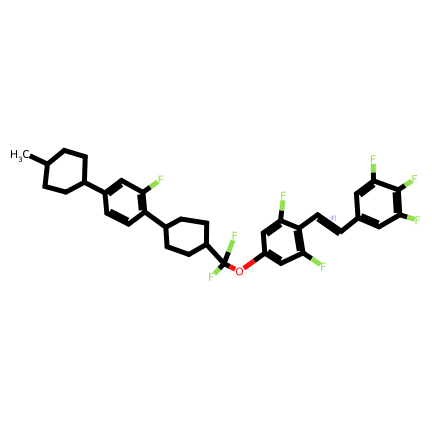 CC1CCC(c2ccc(C3CCC(C(F)(F)Oc4cc(F)c(/C=C/c5cc(F)c(F)c(F)c5)c(F)c4)CC3)c(F)c2)CC1